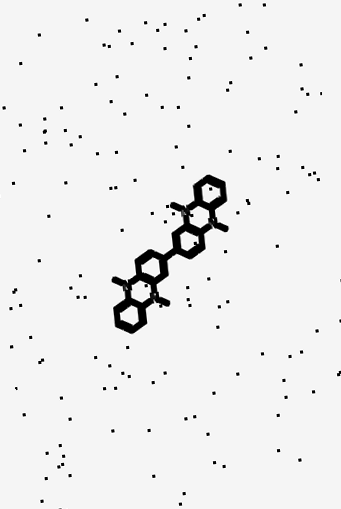 CN1c2ccccc2N(C)c2cc(-c3ccc4c(c3)N(C)c3ccccc3N4C)ccc21